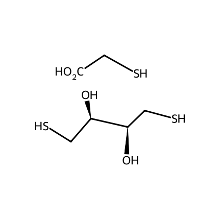 O=C(O)CS.O[C@H](CS)[C@H](O)CS